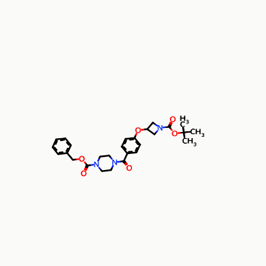 CC(C)(C)OC(=O)N1CC(Oc2ccc(C(=O)N3CCN(C(=O)OCc4ccccc4)CC3)cc2)C1